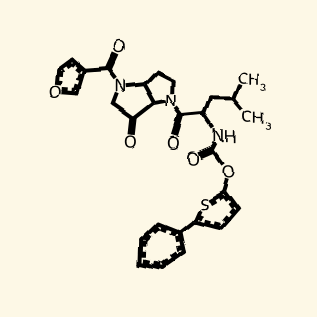 CC(C)CC(NC(=O)Oc1ccc(-c2ccccc2)s1)C(=O)N1CCC2C1C(=O)CN2C(=O)c1ccoc1